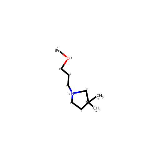 CC(C)OCCCN1CCC(C)(C)C1